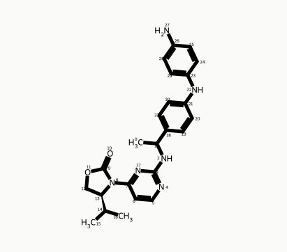 CC(Nc1nccc(N2C(=O)OC[C@@H]2C(C)C)n1)c1ccc(Nc2ccc(N)cc2)cc1